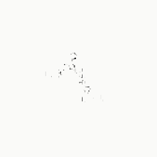 COC(=O)c1ccc2c(-c3ccccc3)cn(CC(=O)N3CCN(c4ccc(C(C)C)cc4)CC3)c2c1